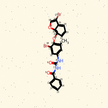 Cc1cc(NC(=O)NC(=O)c2ccccc2)cc(Br)c1Oc1cccc2c(Br)coc12